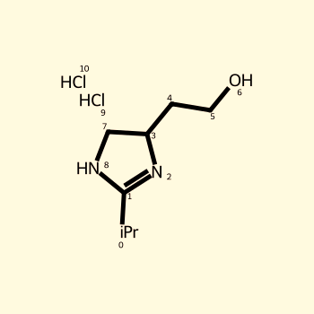 CC(C)C1=NC(CCO)CN1.Cl.Cl